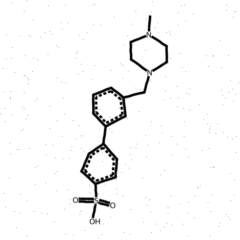 CN1CCN(Cc2cccc(-c3ccc(S(=O)(=O)O)cc3)c2)CC1